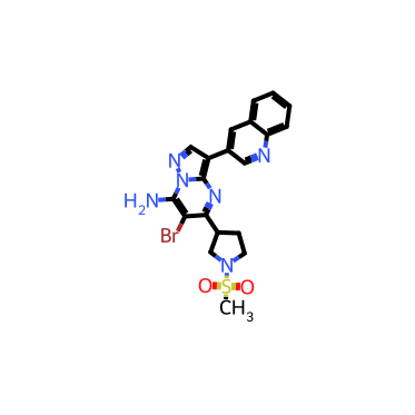 CS(=O)(=O)N1CCC(c2nc3c(-c4cnc5ccccc5c4)cnn3c(N)c2Br)C1